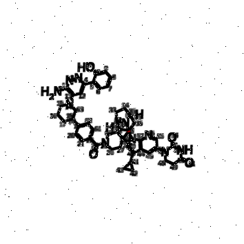 Nc1nnc(-c2ccccc2O)cc1N1CCC[C@H](c2ccc(C(=O)N3CCC(F)(CN4[C@@H]5CC[C@H]4CC(n4cc(C6CC6)c6cc(N7CCC(=O)NC7=O)cnc64)C5)CC3)cc2)C1